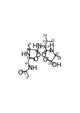 CC(=O)NCC(=O)N[C@@H](C)C(=O)N[C@H](C(=O)N[C@@H](C)C(=O)O)C(C)C